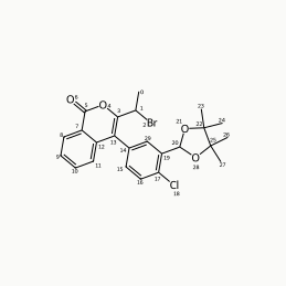 CC(Br)c1oc(=O)c2ccccc2c1-c1ccc(Cl)c(C2OC(C)(C)C(C)(C)O2)c1